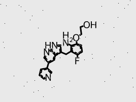 Nc1c(OCCO)ccc(F)c1Cc1c[nH]c2ncc(-c3cccnc3)cc12